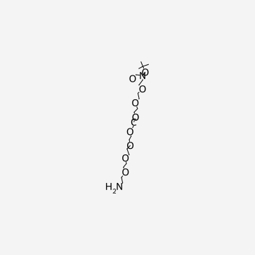 CC(C)(C)ON(C=O)CCOCCOCCOCCOCCOCCOCCOCCN